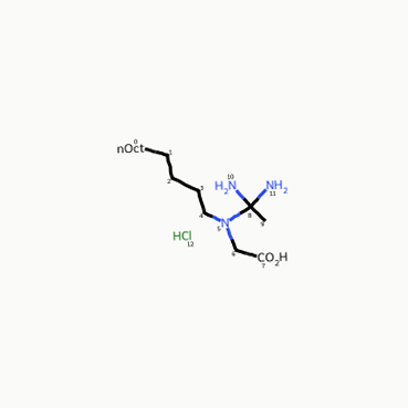 CCCCCCCCCCCCN(CC(=O)O)C(C)(N)N.Cl